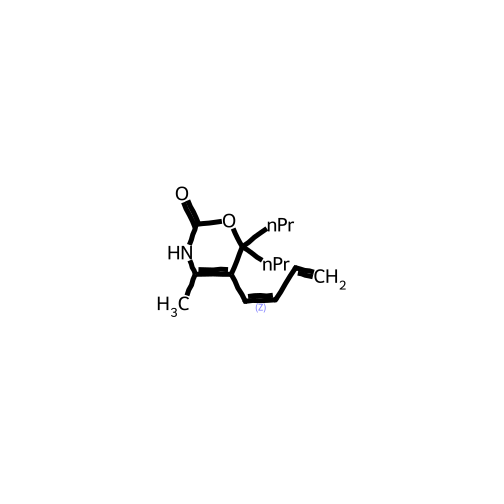 C=C/C=C\C1=C(C)NC(=O)OC1(CCC)CCC